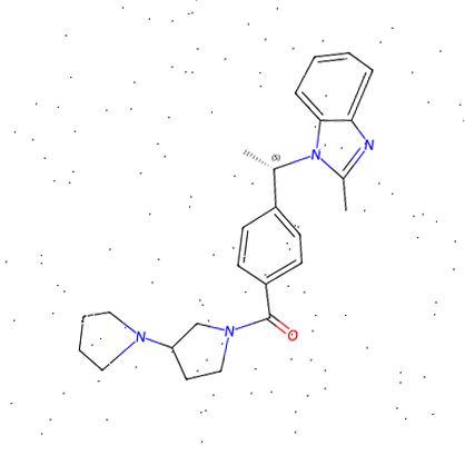 Cc1nc2ccccc2n1[C@@H](C)c1ccc(C(=O)N2CCC(N3CCCC3)C2)cc1